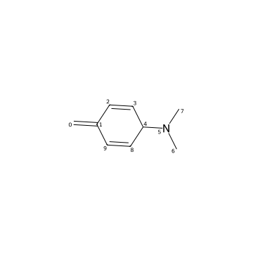 C=C1C=CC(N(C)C)C=C1